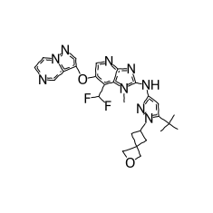 Cn1c(Nc2cc(C(C)(C)C)n(C3CC4(COC4)C3)n2)nc2ncc(Oc3cnn4ccncc34)c(C(F)F)c21